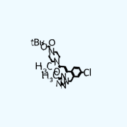 Cc1nnn(Cc2cc(Cl)ccc2C=CC(=O)N2CCN(C(=O)OC(C)(C)C)CC2C)n1